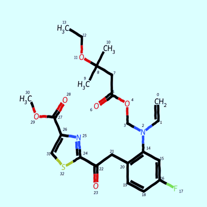 C=CN(COC(=O)CC(C)(C)OCC)c1cc(F)ccc1CC(=O)c1nc(C(=O)OC)cs1